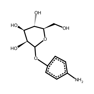 Nc1ccc(OC2O[C@H](CO)[C@@H](O)[C@H](O)[C@@H]2O)cc1